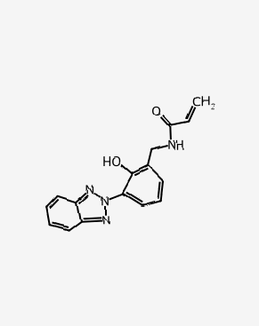 C=CC(=O)NCc1cccc(-n2nc3ccccc3n2)c1O